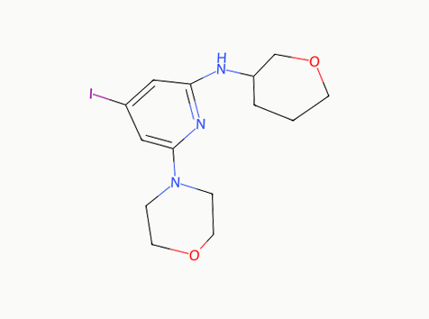 Ic1cc(NC2CCCOC2)nc(N2CCOCC2)c1